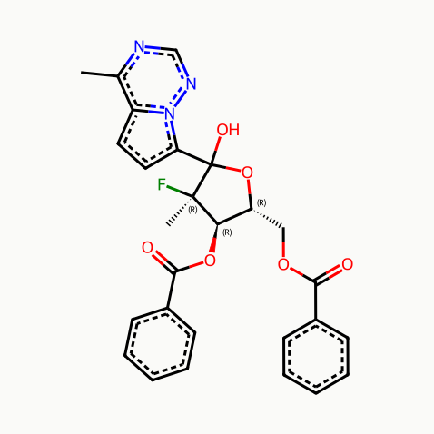 Cc1ncnn2c(C3(O)O[C@H](COC(=O)c4ccccc4)[C@@H](OC(=O)c4ccccc4)[C@@]3(C)F)ccc12